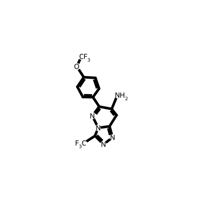 Nc1cc2nnc(C(F)(F)F)n2nc1-c1ccc(OC(F)(F)F)cc1